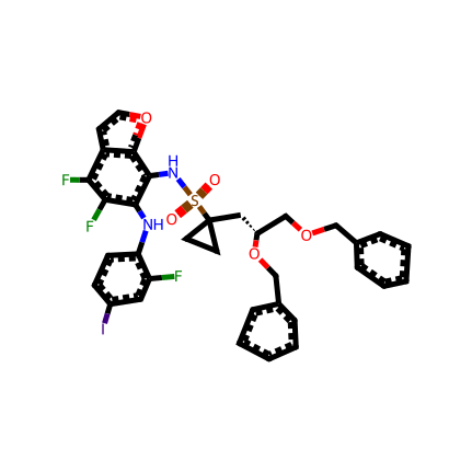 O=S(=O)(Nc1c(Nc2ccc(I)cc2F)c(F)c(F)c2ccoc12)C1(C[C@H](COCc2ccccc2)OCc2ccccc2)CC1